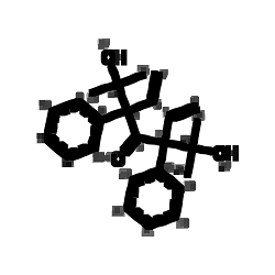 C=CC(C(=O)C(C=C)(c1ccccc1)C(C)(C)O)(c1ccccc1)C(C)(C)O